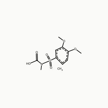 C.COc1ccc(S(=O)(=O)N(C)C(=O)O)cc1OC